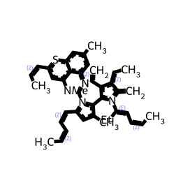 C=Cc1c(-c2c(C)cc(/C=C\C=C/C)n2C/N=c2/cc(C)cc3sc(/C=C\C)cc(NC)c2-3)n(/C(=C/C=C\C)CC)c(=C)/c1=C\C